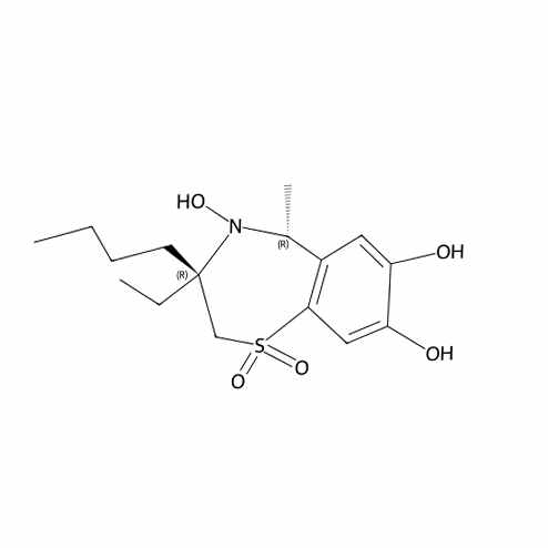 CCCC[C@]1(CC)CS(=O)(=O)c2cc(O)c(O)cc2[C@@H](C)N1O